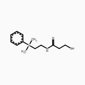 C[Si](C)(CCNC(=O)CCS)c1ccccc1